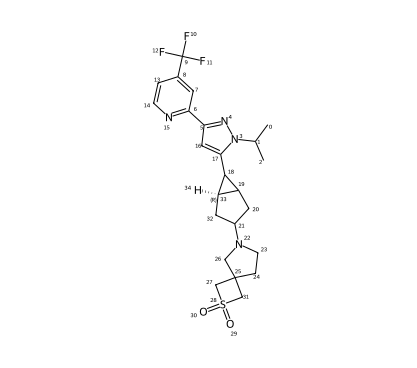 CC(C)n1nc(-c2cc(C(F)(F)F)ccn2)cc1C1C2CC(N3CCC4(C3)CS(=O)(=O)C4)C[C@H]21